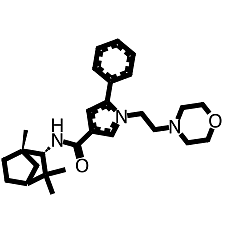 CC1(C)C2CC[C@@](C)(C2)[C@@H]1NC(=O)c1cc(-c2ccccc2)n(CCN2CCOCC2)c1